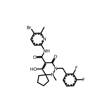 Cc1nc(NC(=O)C2=C(O)C3(CCCC3)N(C)N(Cc3cccc(F)c3F)C2=O)ccc1Br